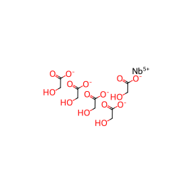 O=C([O-])CO.O=C([O-])CO.O=C([O-])CO.O=C([O-])CO.O=C([O-])CO.[Nb+5]